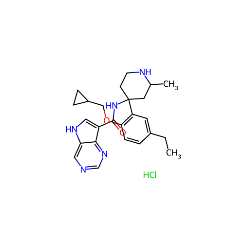 CCc1ccc(OCC2CC2)c(C2(NC(=O)c3c[nH]c4cncnc34)CCNC(C)C2)c1.Cl